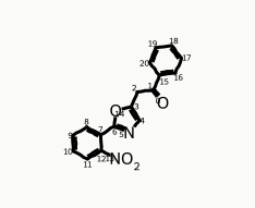 O=C(Cc1cnc(-c2ccccc2[N+](=O)[O-])o1)c1ccccc1